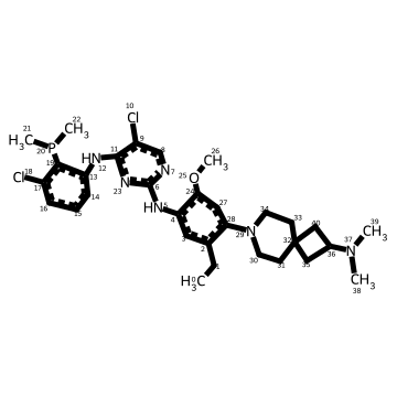 CCc1cc(Nc2ncc(Cl)c(Nc3cccc(Cl)c3P(C)C)n2)c(OC)cc1N1CCC2(CC1)CC(N(C)C)C2